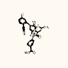 CC(C)CC(C(=O)Nc1ccc(C(=O)O)cc1)n1cc(Cl)c(-c2cc(Cl)ccc2C#N)cc1=O